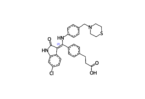 O=C(O)CCc1ccc(/C(Nc2ccc(CN3CCSCC3)cc2)=C2/C(=O)Nc3cc(Cl)ccc32)cc1